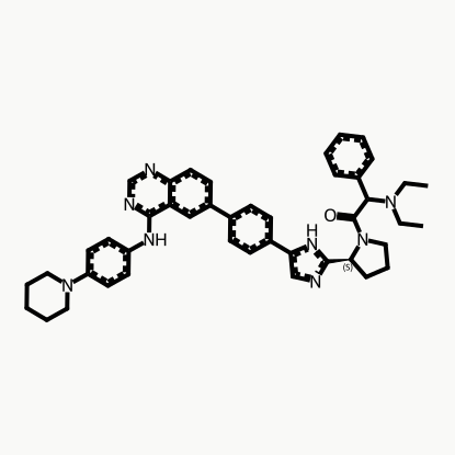 CCN(CC)C(C(=O)N1CCC[C@H]1c1ncc(-c2ccc(-c3ccc4ncnc(Nc5ccc(N6CCCCC6)cc5)c4c3)cc2)[nH]1)c1ccccc1